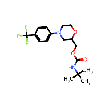 CC(C)(C)NC(=O)OCC1CN(c2ccc(C(F)(F)F)cc2)CCO1